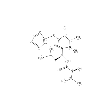 CC(C)C[C@H](NC(=O)[C@@H](O)C(C)C)C(=O)N(C)[C@@H](C)C(=O)OCc1ccccc1